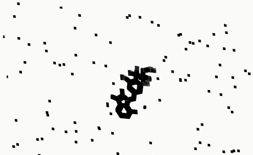 CCC(C)OP(=O)(O)C(F)(F)c1ccc(Cn2c(C)c(C)c3cccc(C)c32)cc1Br